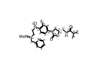 CCN(CCN(Cc1ccccn1)NC)c1ccc(N2C[C@H](CNC(=O)C(F)F)OC2=O)cc1F